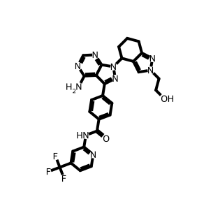 Nc1ncnc2c1c(-c1ccc(C(=O)Nc3cc(C(F)(F)F)ccn3)cc1)nn2C1CCCc2nn(CCO)cc21